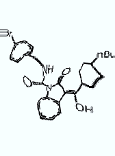 CCCCC1CCC(C(O)=C2C(=O)N(C(=O)Nc3ccc(Br)cc3)c3ccccc32)CC1